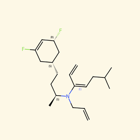 C=CCN(/C(C=C)=C/CC(C)C)[C@@H](C)CC[C@@H]1CC(F)=C[C@H](F)C1